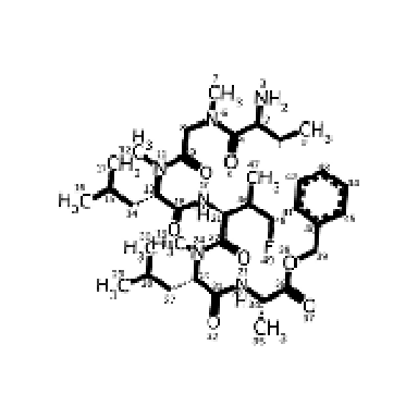 CCC(N)C(=O)N(C)CC(=O)N(C)[C@@H](CC(C)C)C(=O)N[C@H](C(=O)N(C)[C@@H](CC(C)C)C(=O)N[C@@H](C)C(=O)OCc1ccccc1)C(C)CF